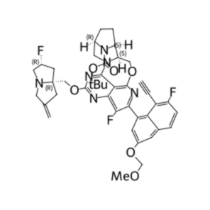 C#Cc1c(F)ccc2cc(OCOC)cc(-c3nc4c5c(nc(OC[C@]67CC(=C)CN6C[C@H](F)C7)nc5c3F)N3C[C@H]5CC[C@@H]([C@H]3CO4)N5C(=O)OC(C)(C)C)c12